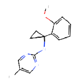 COc1ccccc1C1(Nc2ncc(C)cn2)CC1